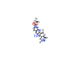 Cc1cc(-c2[nH]c3cc4c(nc3c2C(C)C)CN(C(=O)OC(C)(C)C)CC4)cc(C)n1